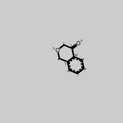 O=C1COCc2ccccc21